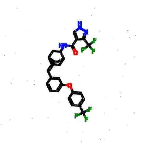 O=C(NC1CC2CCC1C/C2=C\c1cccc(Oc2ccc(C(F)(F)F)cc2)c1)c1c[nH]nc1C(F)(F)F